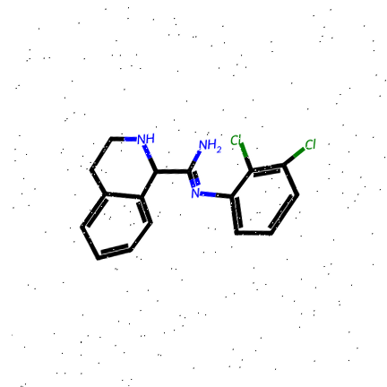 NC(=Nc1cccc(Cl)c1Cl)C1NCCc2ccccc21